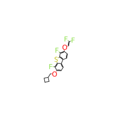 FC(F)=COc1ccc2c(sc3c(F)c(OCC4CCC4)ccc32)c1F